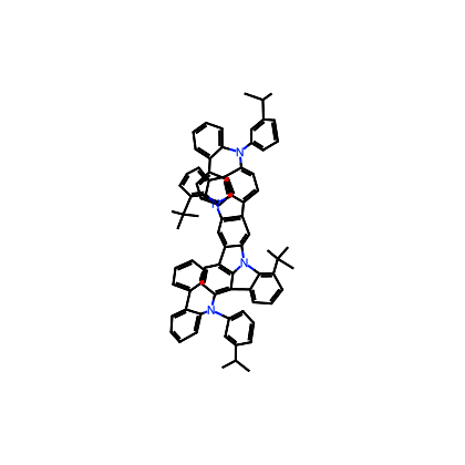 CC(C)c1cccc(N(c2ccccc2-c2ccccc2)c2ccc3c4cc5c(cc4n4c6c(C(C)(C)C)cccc6c2c34)c2ccc(N(c3cccc(C(C)C)c3)c3ccccc3-c3ccccc3)c3c4cccc(C(C)(C)C)c4n5c23)c1